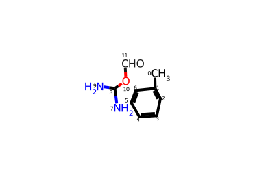 Cc1ccccc1.NC(N)OC=O